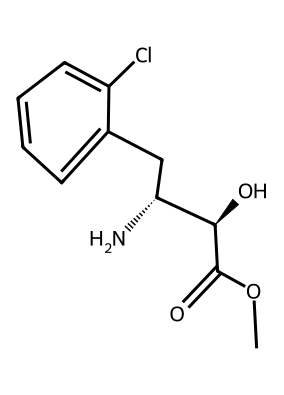 COC(=O)[C@H](O)[C@H](N)Cc1ccccc1Cl